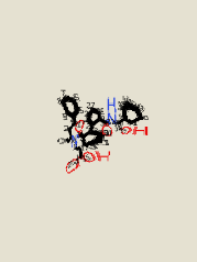 CC(CCc1ccccc1)N(CCC(=O)O)C(=O)c1ccccc1-c1ccccc1C(=O)N[C@@H](CO)c1ccccc1